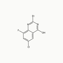 CCc1nc(O)c2cc(Cl)cc(F)c2n1